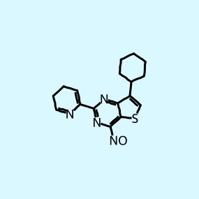 O=Nc1nc(C2=CCCC=N2)nc2c(C3CCCCC3)csc12